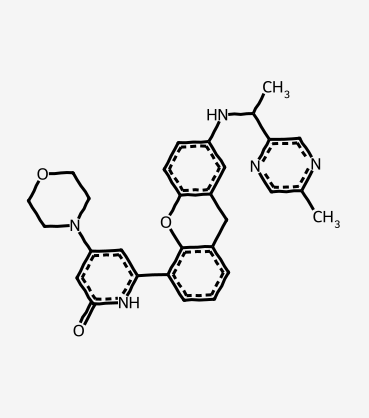 Cc1cnc(C(C)Nc2ccc3c(c2)Cc2cccc(-c4cc(N5CCOCC5)cc(=O)[nH]4)c2O3)cn1